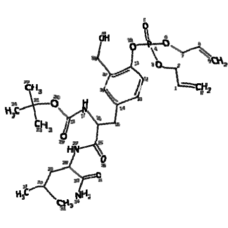 C=CCOP(=O)(OCC=C)Oc1ccc(CC(NC(=O)OC(C)(C)C)C(=O)NC(CC(C)C)C(N)=O)cc1CO